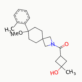 COC1(c2ccccc2C)CCC2(CC1)CN(C(=O)C1CC(C)(O)C1)C2